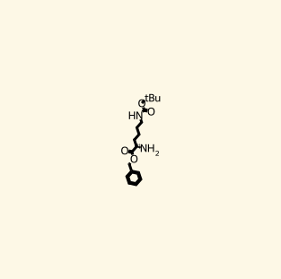 CC(C)(C)OC(=O)NCCCC[C@@H](N)C(=O)OCc1ccccc1